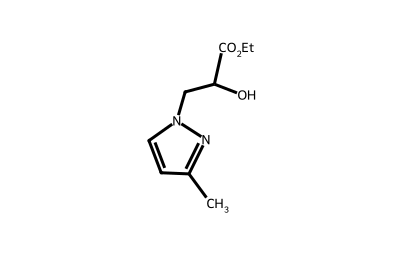 CCOC(=O)C(O)Cn1ccc(C)n1